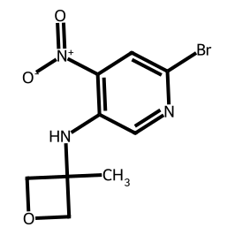 CC1(Nc2cnc(Br)cc2[N+](=O)[O-])COC1